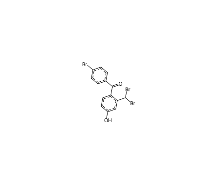 O=C(c1ccc(Br)cc1)c1ccc(O)cc1C(Br)Br